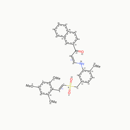 COc1cc(OC)c(/C=C/S(=O)(=O)Cc2ccc(OC)c(N/C=C\C(=O)c3ccc4ccccc4c3)c2)c(OC)c1